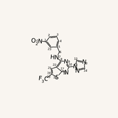 O=[N+]([O-])c1cccc(CNc2nc(-n3cncn3)nc3sc(C(F)(F)F)cc23)c1